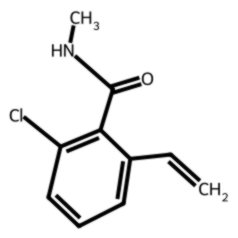 C=Cc1cccc(Cl)c1C(=O)NC